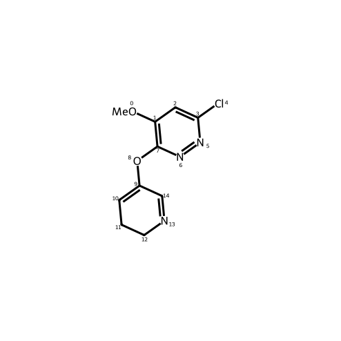 COc1cc(Cl)nnc1OC1=CCCN=C1